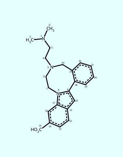 CN(C)CCN1CCn2c(cc3ccc(C(=O)O)cc32)-c2ccccc2C1